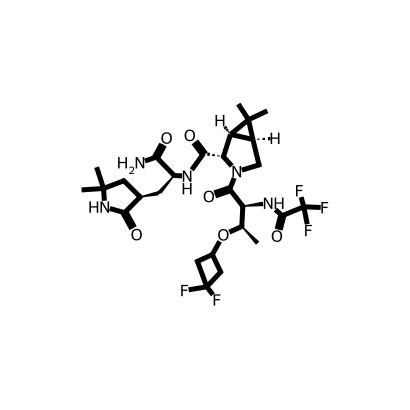 C[C@@H](OC1CC(F)(F)C1)[C@H](NC(=O)C(F)(F)F)C(=O)N1C[C@H]2[C@@H]([C@H]1C(=O)N[C@@H](C[C@@H]1CC(C)(C)NC1=O)C(N)=O)C2(C)C